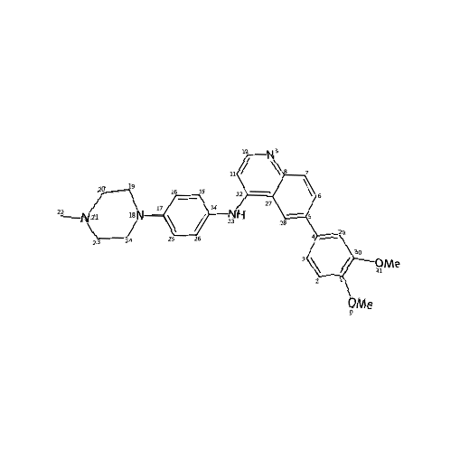 COc1ccc(-c2ccc3nccc(Nc4ccc(N5CCN(C)CC5)cc4)c3c2)cc1OC